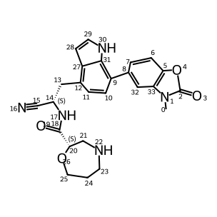 Cn1c(=O)oc2ccc(-c3ccc(C[C@@H](C#N)NC(=O)[C@@H]4CNCCCO4)c4cc[nH]c34)cc21